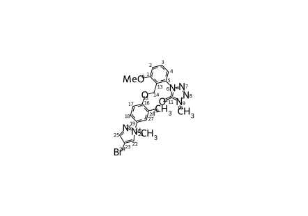 COc1cccc(-n2nnn(C)c2=O)c1COc1ccc([N+]2(C)C=C(Br)C=N2)cc1C